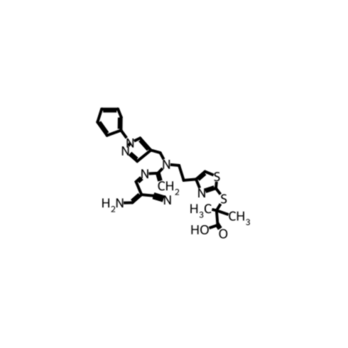 C=C(/N=C\C(C#N)=C/N)N(CCc1csc(SC(C)(C)C(=O)O)n1)Cc1cnn(-c2ccccc2)c1